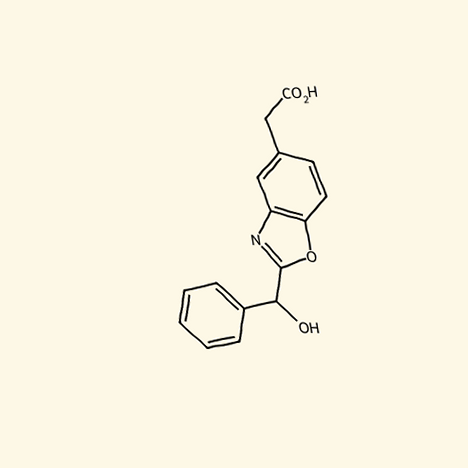 O=C(O)Cc1ccc2oc(C(O)c3ccccc3)nc2c1